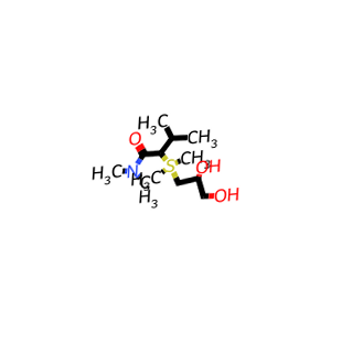 CC(C)C(C(=O)N(C)C)S(C)(C)CC(O)CO